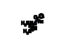 CC(=O)/C(=C\Sc1nc(N)nc2c1ncn2C)C(=O)c1ccccc1